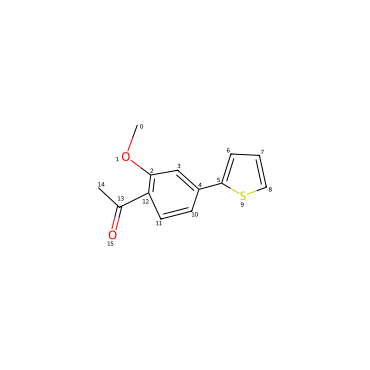 COc1cc(-c2cccs2)ccc1C(C)=O